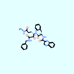 CC(C)NC(=O)CC[C@H](NC(=O)[C@H](Cc1ccccc1)NC(=O)c1cnc2ccccc2n1)C(=O)C(=O)NCc1ccccc1